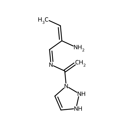 C=C(/N=C\C(N)=C/C)N1C=CNN1